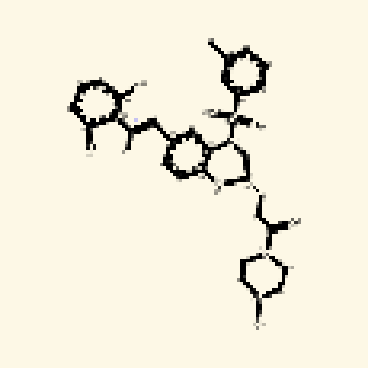 CC(=O)N1CCN(C(=O)CC[C@H]2CN(S(=O)(=O)c3cccc(C)c3)c3cc(/C=C(\C)c4c(F)cccc4Cl)ccc3O2)CC1